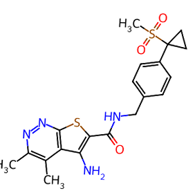 Cc1nnc2sc(C(=O)NCc3ccc(C4(S(C)(=O)=O)CC4)cc3)c(N)c2c1C